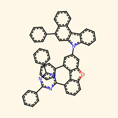 c1ccc(-c2nc(-c3ccccc3)nc(-c3cccc4oc5cc(-n6c7ccccc7c7c8ccccc8c(-c8ccccc8)cc76)cc(-c6ccccc6)c5c34)n2)cc1